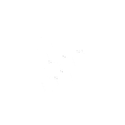 Cc1cccc(CN(c2nc(C)c(C)c(N)n2)C2CCCCC2)n1